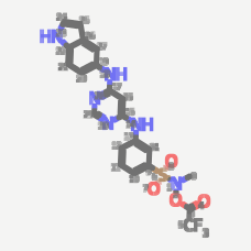 CN(OC(=O)C(F)(F)F)S(=O)(=O)c1cccc(Nc2cc(Nc3ccc4[nH]ccc4c3)ncn2)c1